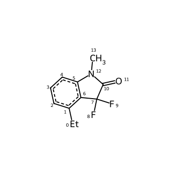 CCc1cccc2c1C(F)(F)C(=O)N2C